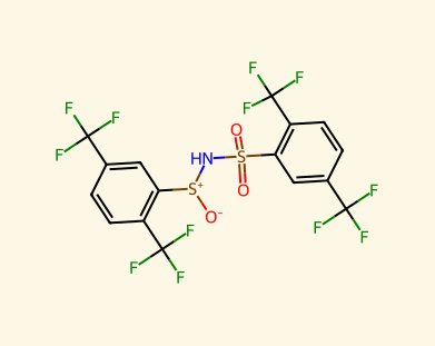 O=S(=O)(N[S+]([O-])c1cc(C(F)(F)F)ccc1C(F)(F)F)c1cc(C(F)(F)F)ccc1C(F)(F)F